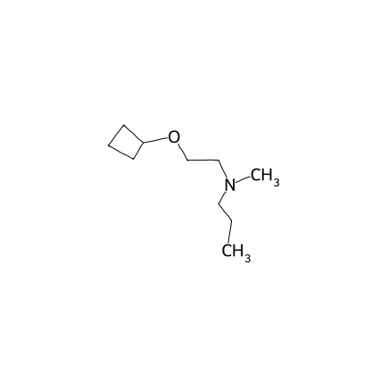 CCCN(C)CCOC1CCC1